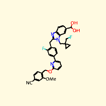 COc1cc(C#N)ccc1COc1cccc(-c2ccc(Cc3nc4ccc(C(O)O)cc4n3CC3(CF)CC3)c(F)c2)n1